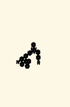 N#Cc1ccc(-c2cccc(-c3nc(-c4ccccc4)nc(-c4ccc(-c5ccc(-c6ccc(C#N)c(-c7ccccc7-c7ccc8cccc9c8c7-c7ccccc7-9)c6)cc5)cc4)n3)c2)cc1